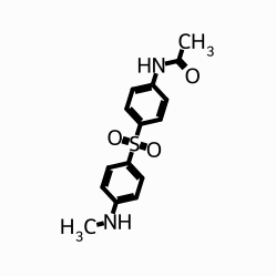 CNc1ccc(S(=O)(=O)c2ccc(NC(C)=O)cc2)cc1